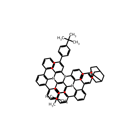 CC(C)(C)c1ccc(-c2ccc3c(c2)B2c4ccc(N5C6CC7CC(C6)CC5C7)cc4N(c4c(-c5ccccc5)cccc4-c4ccccc4)c4cc(C(C)(C)C)cc(c42)N3c2c(-c3ccccc3)cccc2-c2ccccc2)cc1